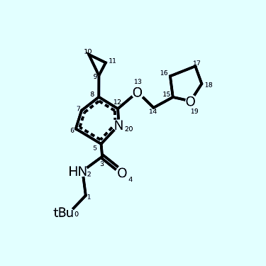 CC(C)(C)CNC(=O)c1ccc(C2CC2)c(OCC2CCCO2)n1